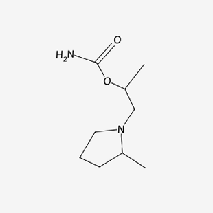 CC(CN1CCCC1C)OC(N)=O